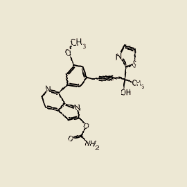 COc1cc(C#CC(C)(O)c2nccs2)cc(C2=NCC=C3C=C(OC(N)=O)N=C32)c1